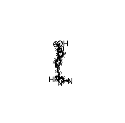 N#Cc1cnc2[nH]cc(CCCCN3CCN(c4ccc5oc(C(=O)O)cc5c4)CC3)c2c1